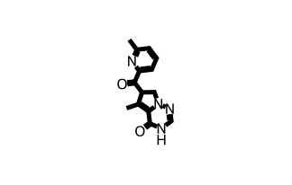 CC1=C2C(=O)NC=NN2CC1C(=O)c1cccc(C)n1